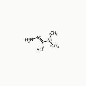 CN(C)C=NN.Cl